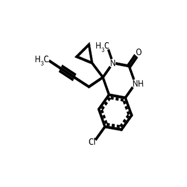 CC#CCC1(C2CC2)c2cc(Cl)ccc2NC(=O)N1C